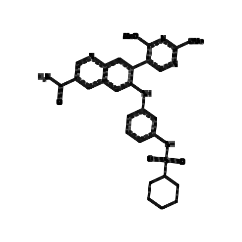 COc1ncc(-c2cc3ncc(C(N)=O)cc3cc2Nc2cccc(NS(=O)(=O)C3CCCCC3)c2)c(OC)n1